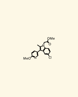 COC(=O)Cn1c(C)c(-c2ccc(OC)nc2)c2cc(Cl)ccc21